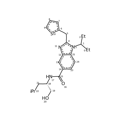 CCC(CC)n1c(Cc2cccs2)nc2cc(C(=O)N[C@H](CO)CC(C)C)ccc21